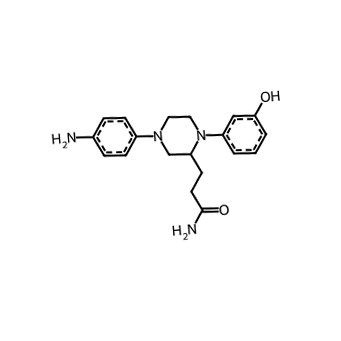 NC(=O)CCC1CN(c2ccc(N)cc2)CCN1c1cccc(O)c1